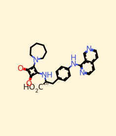 O=C(O)[C@H](Cc1ccc(Nc2nccc3ccncc23)cc1)Nc1c(N2CCCCCC2)c(=O)c1=O